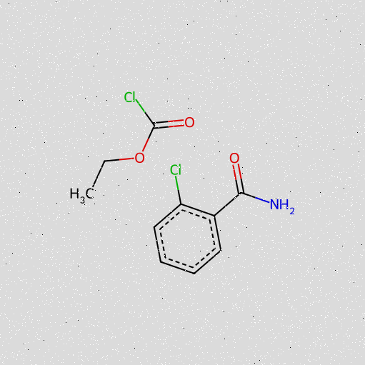 CCOC(=O)Cl.NC(=O)c1ccccc1Cl